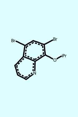 CC(C)Oc1c(Br)cc(Br)c2cccnc12